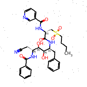 CCCCS(=O)(=O)C[C@@H](NC(=O)c1cccnc1)C(=O)N[C@@H](Cc1ccccc1)[C@@H](O)[C@H](O)[C@@H](CC#N)NC(=O)c1ccccc1